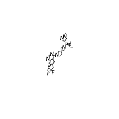 CC[C@H](C)[C@@H](c1cnn(C)c1)N1CC2(CCN(c3ncnc4sc(CC(F)(F)F)cc34)C2)C1